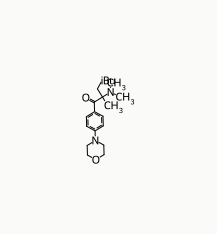 CCC(C)CC(C)(C(=O)c1ccc(N2CCOCC2)cc1)N(C)C